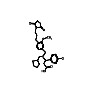 COc1cc(CN(CC2CCCC2)C(CC(=O)O)c2ccc(Cl)cc2)ccc1CCCN1C(=O)CCC1=O